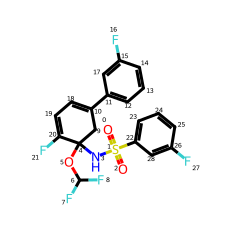 O=S(=O)(NC1(OC(F)F)CC(c2cccc(F)c2)=CC=C1F)c1cccc(F)c1